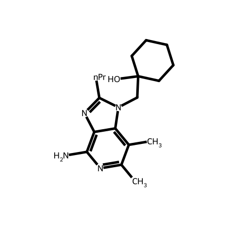 CCCc1nc2c(N)nc(C)c(C)c2n1CC1(O)CCCCC1